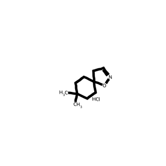 CC1(C)CCC2(CC=NO2)CC1.Cl